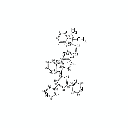 CC1(C)c2ccccc2-c2c1ccc1c2sc2c1ccc1c2c2ccccc2n1-c1cc(-c2ccncc2)cc(-c2ccncc2)c1